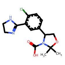 CC1(C)OCC(c2ccc(Cl)c(C3=NCCN3)c2)N1C(=O)O